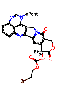 CCCCCN1C=Nc2cccc3nc4c(c1c23)Cn1c-4cc2c(c1=O)COC(=O)[C@@]2(CC)OC(=O)OCCBr